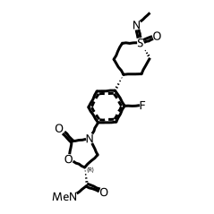 CN=[S@]1(=O)CC[C@H](c2ccc(N3C[C@H](C(=O)NC)OC3=O)cc2F)CC1